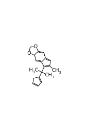 CC1=C(C(C)(C)C2=CC=CC2)C2=CC3OCOC3=CC2=C1